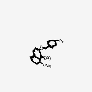 COc1cccc2ccc(OCc3ccc(C(C)C)cc3)c(C=O)c12